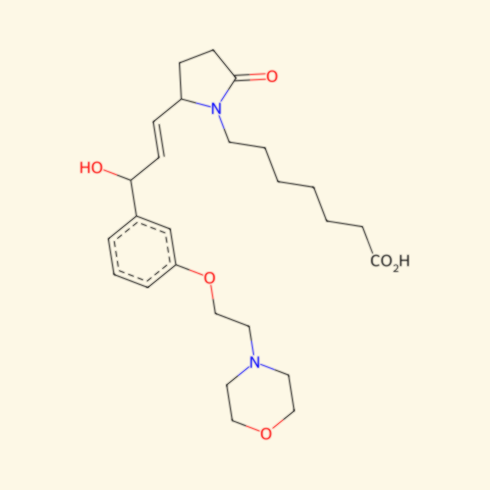 O=C(O)CCCCCCN1C(=O)CCC1C=CC(O)c1cccc(OCCN2CCOCC2)c1